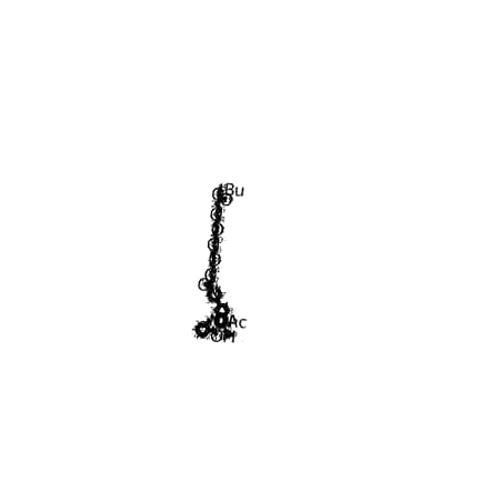 CC(=O)N1c2ccc(C3=CCN(C(=O)COCCOCCOCCOCCOCCC(=O)OC(C)(C)C)CC3)cc2N(Cc2ccccc2CO)C[C@@H]1C1CC1